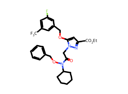 CCOC(=O)c1cc(OCc2cc(F)cc(C(F)(F)F)c2)n(CC(=O)N(OCc2ccccc2)C2CCCCC2)n1